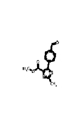 COC(=O)c1nc(C)sc1-c1ccc(C=O)cc1